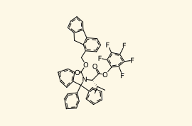 CC(C)[C@@H](C(=O)Oc1c(F)c(F)c(F)c(F)c1F)N(C(=O)OCc1cccc2c1Cc1ccccc1-2)C(c1ccccc1)(c1ccccc1)c1ccccc1